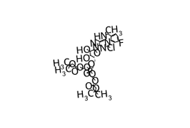 CC(C)OC(=O)OCOP(=O)(COC[C@H]1O[C@@H](n2ncc3c(N[C@H](C)c4ccc(F)cc4)nc(Cl)nc32)[C@H](O)[C@@H]1O)OCOC(=O)OC(C)C